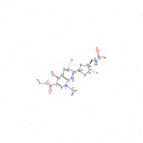 CCOC(=O)c1cn(C2CC2)c2nc(N3C[C@@H](CNC(C)=O)[C@H](F)C3)c(F)cc2c1=O